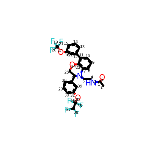 CC(=O)NCCN1c2cccc(-c3cccc(OC(F)(F)F)c3)c2OCC1c1cccc(OC(F)(F)C(F)F)c1